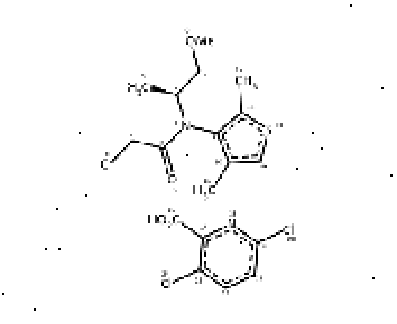 COC[C@H](C)N(C(=O)CCl)c1c(C)csc1C.O=C(O)c1nc(Cl)ccc1Cl